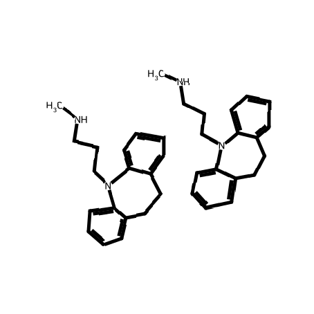 CNCCCN1c2ccccc2CCc2ccccc21.CNCCCN1c2ccccc2CCc2ccccc21